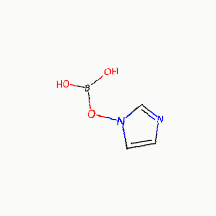 OB(O)On1ccnc1